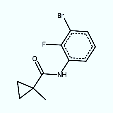 CC1(C(=O)Nc2cccc(Br)c2F)CC1